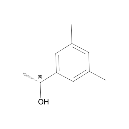 Cc1cc(C)cc([C@@H](C)O)c1